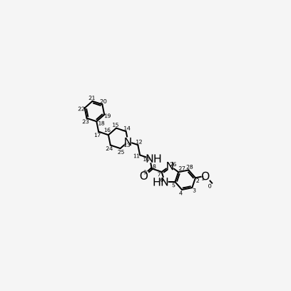 COc1ccc2[nH]c(C(=O)NCCN3CCC(Cc4ccccc4)CC3)nc2c1